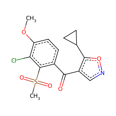 COc1ccc(C(=O)c2cnoc2C2CC2)c(S(C)(=O)=O)c1Cl